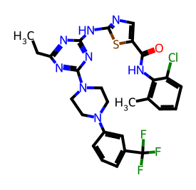 CCc1nc(Nc2ncc(C(=O)Nc3c(C)cccc3Cl)s2)nc(N2CCN(c3cccc(C(F)(F)F)c3)CC2)n1